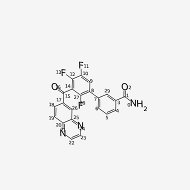 NC(=O)c1cccc(-c2cc(F)c(F)c(C(=O)c3ccc4nccnc4c3)c2F)c1